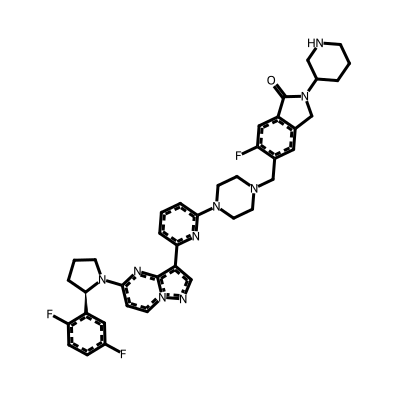 O=C1c2cc(F)c(CN3CCN(c4cccc(-c5cnn6ccc(N7CCC[C@@H]7c7cc(F)ccc7F)nc56)n4)CC3)cc2CN1C1CCCNC1